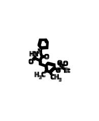 CCS(=O)(=O)Oc1ccc(C=C2C(=O)NN(c3ccccc3)C2=O)c(C)c1C